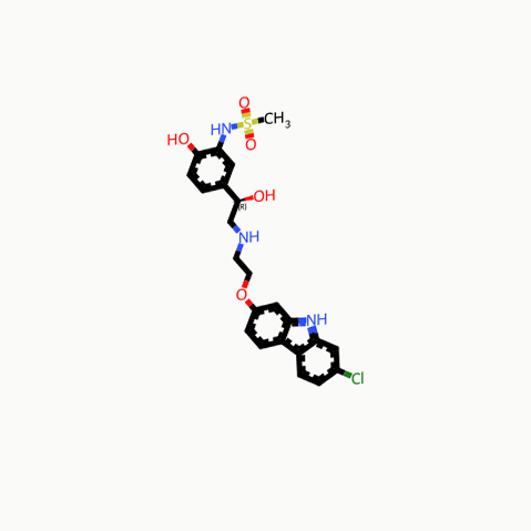 CS(=O)(=O)Nc1cc([C@@H](O)CNCCOc2ccc3c(c2)[nH]c2cc(Cl)ccc23)ccc1O